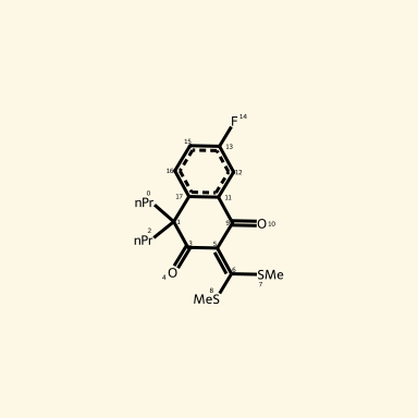 CCCC1(CCC)C(=O)C(=C(SC)SC)C(=O)c2cc(F)ccc21